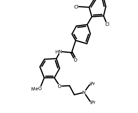 COc1ccc(NC(=O)c2ccc(-c3c(Cl)cccc3Cl)cc2)cc1OCCN(C(C)C)C(C)C